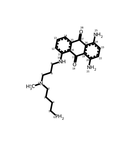 CN(CCCCP)CCCNc1cccc2c1C(=O)c1c(N)ccc(N)c1C2=O